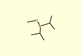 CO[Si](C(C)C)C(C)C